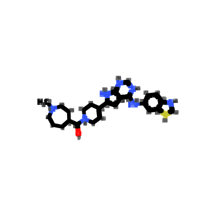 CN1CCCC(C(=O)N2CC=C(c3cc4c(Nc5ccc6ncsc6c5)ncnc4[nH]3)CC2)CC1